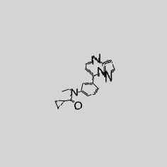 CCN(C(=O)C1CC1)c1cccc(-c2ccnc3ccnn23)c1